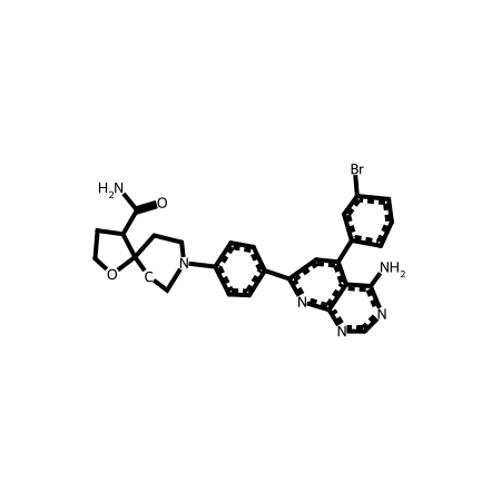 NC(=O)C1CCOC12CCN(c1ccc(-c3cc(-c4cccc(Br)c4)c4c(N)ncnc4n3)cc1)CC2